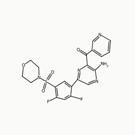 Nc1ncc(-c2cc(S(=O)(=O)N3CCOCC3)c(F)cc2F)nc1C(=O)c1cccnc1